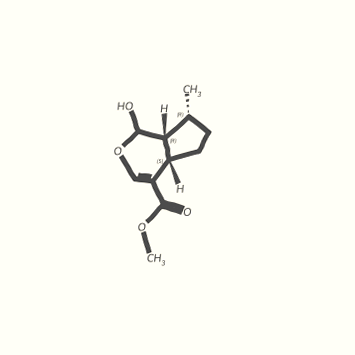 COC(=O)C1=COC(O)[C@@H]2[C@H](C)CC[C@H]12